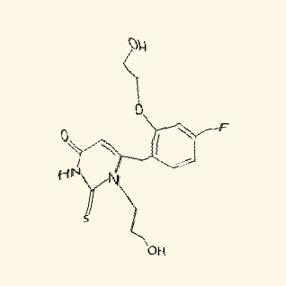 O=c1cc(-c2ccc(F)cc2OCCO)n(CCO)c(=S)[nH]1